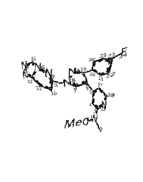 CON(C)c1cc(-c2cn(-c3ccc4nncn4n3)nc2-c2ccc(F)cc2)ccn1